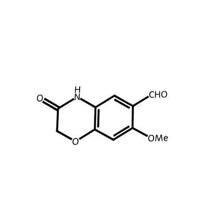 COc1cc2c(cc1C=O)NC(=O)CO2